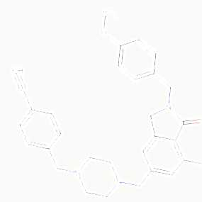 C#Cc1ccc(CN2CCN(Cc3cc(Cl)c4c(c3)CN(Cc3ccc(OC(F)(F)F)cc3)C4=O)CC2)cc1